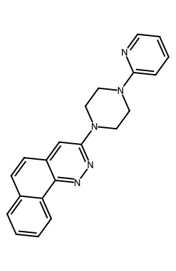 c1ccc(N2CCN(c3cc4ccc5ccccc5c4nn3)CC2)nc1